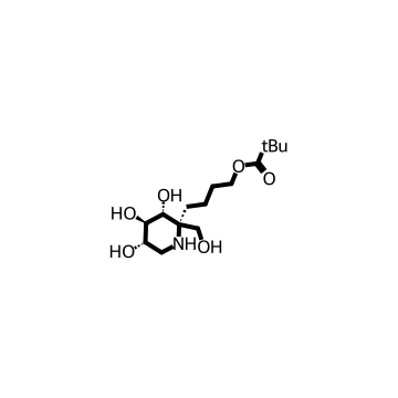 CC(C)(C)C(=O)OCCCC[C@]1(CO)NC[C@H](O)[C@@H](O)[C@@H]1O